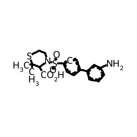 CC1(C)SCCN(S(=O)(=O)c2ccc(-c3cccc(N)c3)cc2)C1C(=O)O